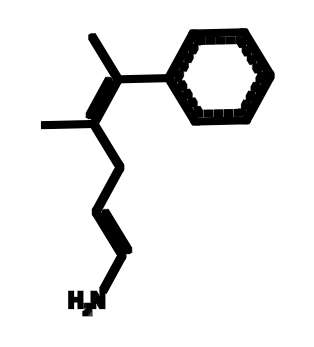 CC(CC=CN)=C(C)c1ccccc1